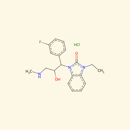 CCn1c(=O)n(C(c2cccc(F)c2)C(O)CNC)c2ccccc21.Cl